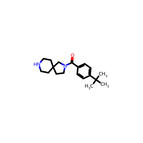 CC(C)(C)c1ccc(C(=O)N2CCC3(CCNCC3)C2)cc1